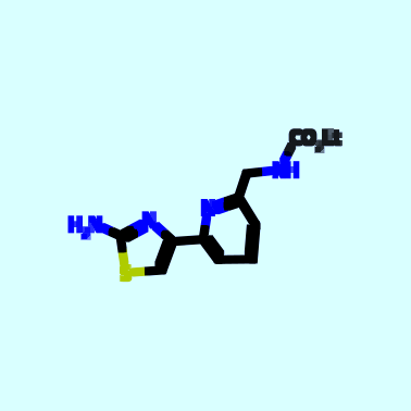 CCOC(=O)NCc1cccc(-c2csc(N)n2)n1